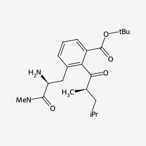 CNC(=O)[C@@H](N)Cc1cccc(C(=O)OC(C)(C)C)c1C(=O)[C@H](C)CC(C)C